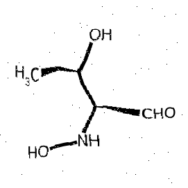 C[C@@H](O)[C@@H](C=O)NO